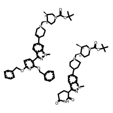 C[C@H]1CN(C(=O)OC(C)(C)C)CC[C@H]1CN1CC=C(c2ccc3c(-c4ccc(OCc5ccccc5)nc4OCc4ccccc4)nn(C)c3c2)CC1.C[C@H]1CN(C(=O)OC(C)(C)C)CC[C@H]1CN1CCC(c2ccc3c(C4CCC(=O)NC4=O)nn(C)c3c2)CC1